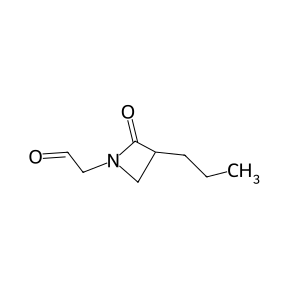 CCCC1CN(CC=O)C1=O